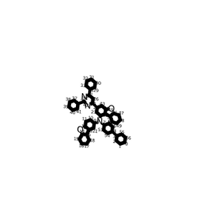 c1ccc(-c2ccc(N(c3ccc4oc5ccccc5c4c3)c3cc(-c4cc(-c5ccccc5)nc(-c5ccccc5)n4)cc4oc5ccccc5c34)cc2)cc1